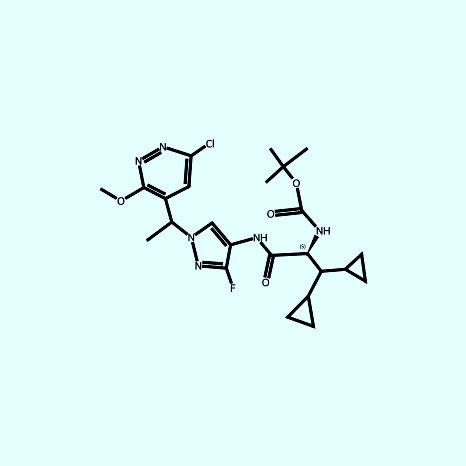 COc1nnc(Cl)cc1C(C)n1cc(NC(=O)[C@@H](NC(=O)OC(C)(C)C)C(C2CC2)C2CC2)c(F)n1